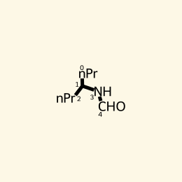 CCCC(CCC)NC=O